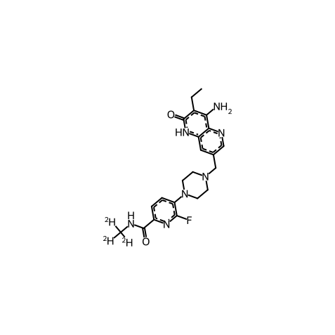 [2H]C([2H])([2H])NC(=O)c1ccc(N2CCN(Cc3cnc4c(N)c(CC)c(=O)[nH]c4c3)CC2)c(F)n1